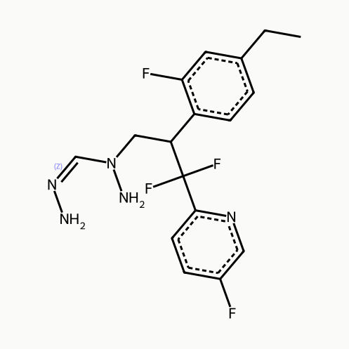 CCc1ccc(C(CN(N)/C=N\N)C(F)(F)c2ccc(F)cn2)c(F)c1